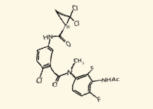 CC(=O)Nc1c(F)ccc(N(C)C(=O)c2cc(NC(=O)[C@H]3CC3(Cl)Cl)ccc2Cl)c1F